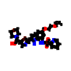 COCCOc1cc(NS(=O)(=O)c2ccccn2)c2[nH]c(C3=NCC(C(O)N4CCSCC4)S3)cc2c1